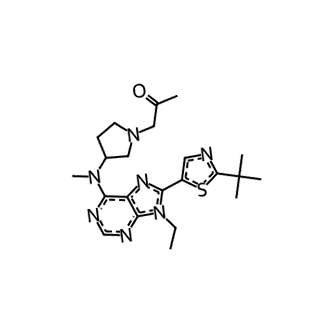 CCn1c(-c2cnc(C(C)(C)C)s2)nc2c(N(C)C3CCN(CC(C)=O)C3)ncnc21